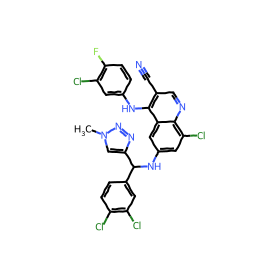 Cn1cc(C(Nc2cc(Cl)c3ncc(C#N)c(Nc4ccc(F)c(Cl)c4)c3c2)c2ccc(Cl)c(Cl)c2)nn1